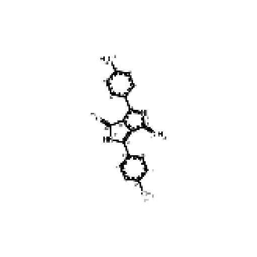 C=c1[nH]c(-c2ccc(C)cc2)c2c1=C(c1ccc(C)cc1)NC2=O